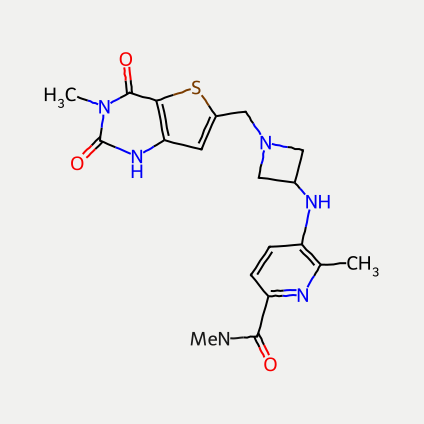 CNC(=O)c1ccc(NC2CN(Cc3cc4[nH]c(=O)n(C)c(=O)c4s3)C2)c(C)n1